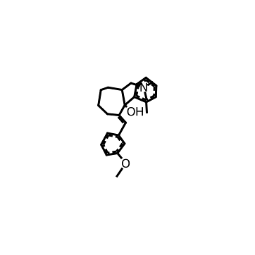 COc1cccc(C=C2CCCCC(CN(C)C)C2(O)c2ccccc2C)c1